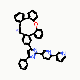 C1=C\c2ccc(-c3cc(-c4ccccc4)nc(-c4ccc(-c5cccnc5)nc4)n3)cc2-c2ccccc2Oc2ccccc2-c2ccccc2/1